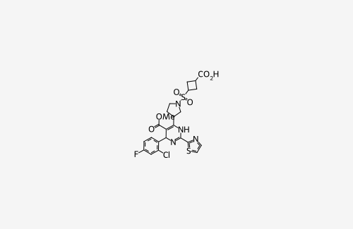 COC(=O)C1=C(C2CCN(S(=O)(=O)C3CC(C(=O)O)C3)C2)NC(c2nccs2)=NC1c1ccc(F)cc1Cl